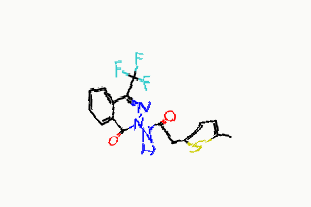 Cc1ccc(CC(=O)Nn2nc(C(F)(F)F)c3ccccc3c2=O)s1